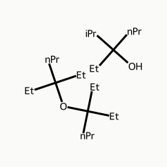 CCCC(CC)(CC)OC(CC)(CC)CCC.CCCC(O)(CC)C(C)C